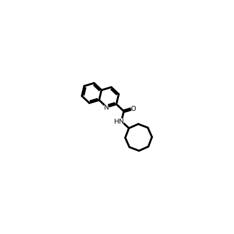 O=C(NC1CCCCCCC1)c1ccc2ccccc2n1